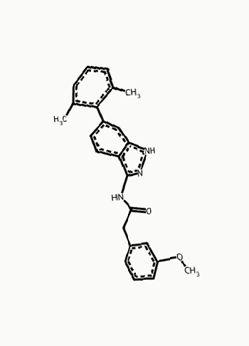 COc1cccc(CC(=O)Nc2n[nH]c3cc(-c4c(C)cccc4C)ccc23)c1